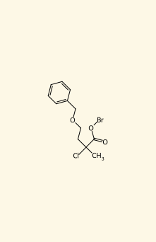 CC(Cl)(CCOCc1ccccc1)C(=O)OBr